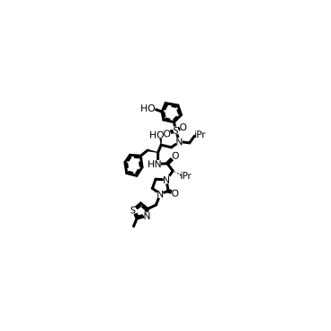 Cc1nc(CN2CCN([C@H](C(=O)N[C@@H](Cc3ccccc3)[C@@H](O)CN(CC(C)C)S(=O)(=O)c3cccc(O)c3)C(C)C)C2=O)cs1